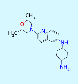 CC1CN(c2ccc3cc(NC4CCC(N)CC4)ccc3n2)CC(C)O1